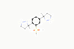 CC1(c2[c]cc(C3(C)CCNN3)c(S(C)(=O)=O)c2)CCNN1